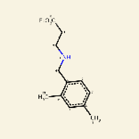 CCOC(=O)CCNCc1ccc(C)cc1C